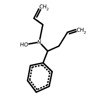 C=CCC(c1ccccc1)N(O)CC=C